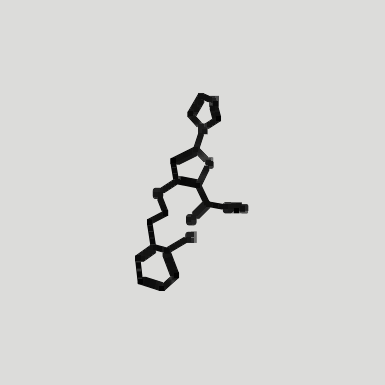 COC(=O)c1sc(-n2ccnc2)cc1OCCc1ccccc1Cl